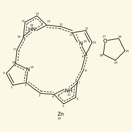 C1=Cc2cc3ccc(cc4nc(cc5ccc(cc1n2)[nH]5)C=C4)[nH]3.C1CCOC1.[Zn]